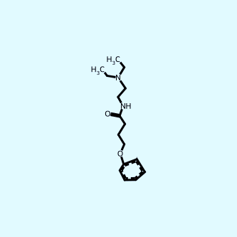 CCN(CC)CCNC(=O)CCCOc1[c]cccc1